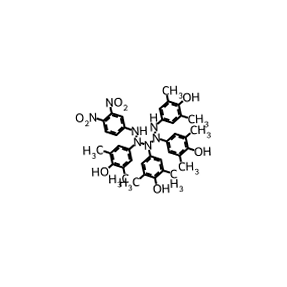 Cc1cc(NN(c2cc(C)c(O)c(C)c2)N(c2cc(C)c(O)c(C)c2)N(Nc2ccc([N+](=O)[O-])c([N+](=O)[O-])c2)c2cc(C)c(O)c(C)c2)cc(C)c1O